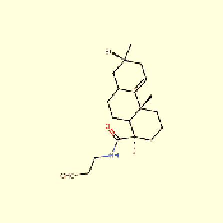 CC[C@@]1(C)CC=C2C(CCC3[C@](C)(C(=O)NCCC=O)CCC[C@@]23C)C1